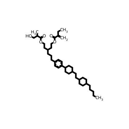 C=C(CC)C(=O)OCCC(CCCc1ccc(C2CCC(CCC3CCC(CCCCC)CC3)CC2)cc1)CCOC(=O)C(C)CO